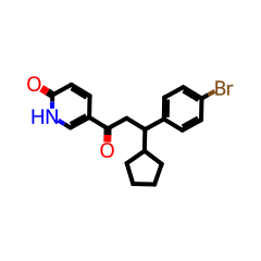 O=C(CC(c1ccc(Br)cc1)C1CCCC1)c1ccc(=O)[nH]c1